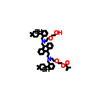 C=C(C)C(=O)OCCOCCN(CCc1c2ccccc2c(CN(CCOCCO)Cc2ccccc2C2BCC(C)(C)CC2)c2ccccc12)Cc1ccccc1C1BCC(C)(C)CC1